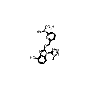 Cn1nnnc1-n1c(OCc2cccc(N(C(=O)O)C(C)(C)C)n2)nc2c(O)cccc21